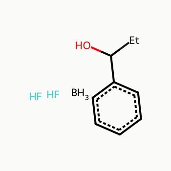 B.CCC(O)c1ccccc1.F.F